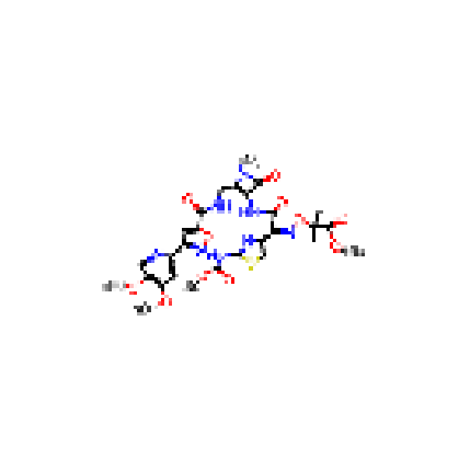 CCCCOc1cnc(-c2cc(C(=O)NC[C@@H]3[C@H](NC(=O)/C(=N\OC(C)(C)C(=O)OC(C)(C)C)C4CSC(NC(=O)OC(C)(C)C)=N4)C(=O)N3S(=O)(=O)O)on2)cc1OCCCC